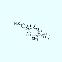 Cc1ccc(S(=O)(=O)N(CCC(C)C)[C@H](CO)CCC(C)CNC(=O)OC(C)(C)C)cc1